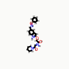 CN(CC(=O)N1CCCCC1)C(=O)COc1cc2cc(C=NOc3ccccc3)ccc2n1C